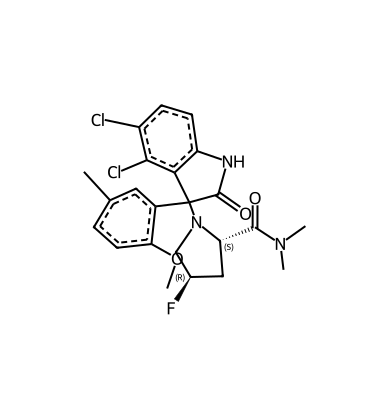 COc1ccc(C)cc1C1(N2C[C@H](F)C[C@H]2C(=O)N(C)C)C(=O)Nc2ccc(Cl)c(Cl)c21